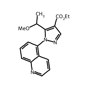 CCOC(=O)c1cnn(-c2cccc3ncccc23)c1C(C)OC